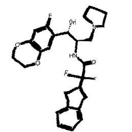 O=C(N[C@H](CN1CCCC1)[C@@H](O)c1cc2c(cc1F)OCCO2)C(F)(F)C1Cc2ccccc2C1